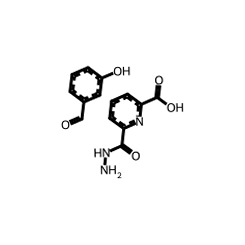 NNC(=O)c1cccc(C(=O)O)n1.O=Cc1cccc(O)c1